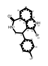 O=C1NCC(c2ccc(F)cc2)c2c(Br)[nH]c3cccc1c23